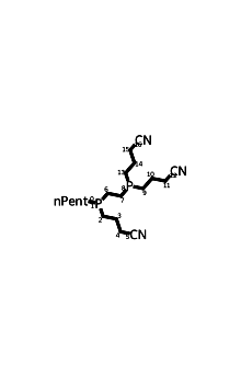 CCCCCP(CCCC#N)CCP(CCCC#N)CCCC#N